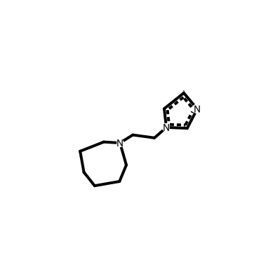 [c]1cn(CCN2CCCCCC2)cn1